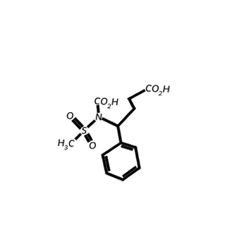 CS(=O)(=O)N(C(=O)O)C(CCC(=O)O)c1ccccc1